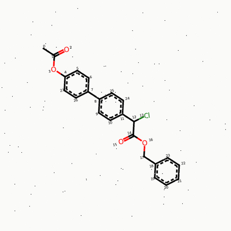 CC(=O)Oc1ccc(-c2ccc(C(Cl)C(=O)OCc3ccccc3)cc2)cc1